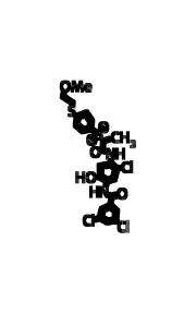 COCCSc1ccc(S(=O)(=O)C(C)C(=O)Nc2cc(O)c(NC(=O)c3cc(Cl)cc(Cl)c3)cc2Cl)cc1